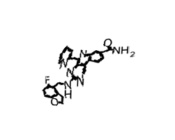 NC(=O)c1ccc2c(c1)nc(-c1ccccn1)c1nc(NCc3c(F)ccc4c3CCO4)ncc12